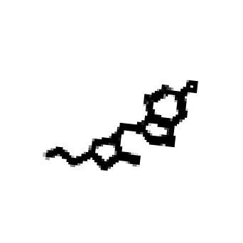 CCCC1CC(=O)N(Cn2cnc3cc(Cl)nnc32)C1